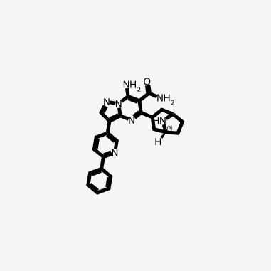 NC(=O)c1c(C2CC3CC[C@H](C2)N3)nc2c(-c3ccc(-c4ccccc4)nc3)cnn2c1N